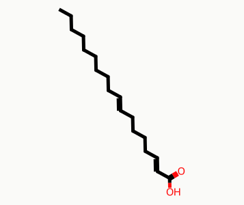 CCCCCCCCCC=CCCCCC=CC(=O)O